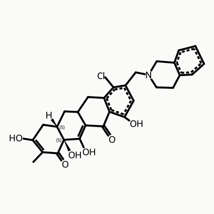 CC1=C(O)C[C@@H]2CC3Cc4c(Cl)c(CN5CCc6ccccc6C5)cc(O)c4C(=O)C3=C(O)[C@]2(O)C1=O